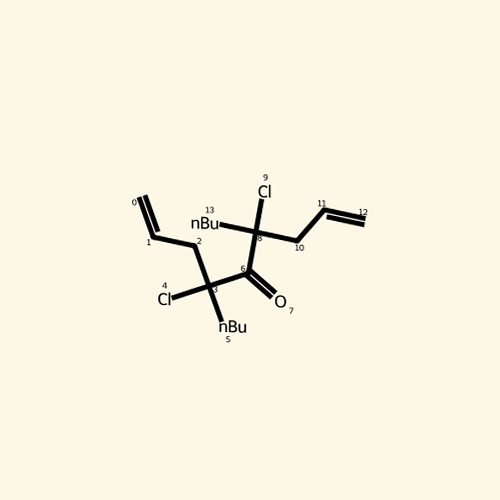 C=CCC(Cl)(CCCC)C(=O)C(Cl)(CC=C)CCCC